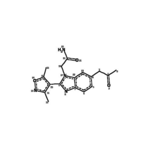 CC(=O)Cc1ccc2nc(-c3c(C)noc3C)n(CC(N)=O)c2c1